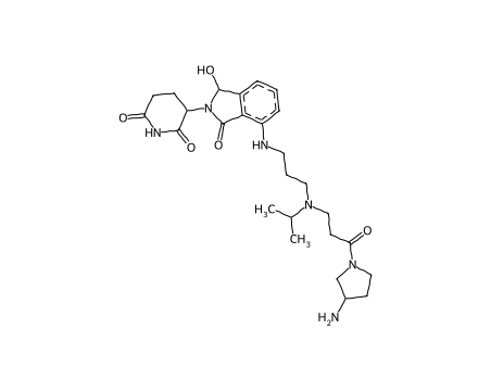 CC(C)N(CCCNc1cccc2c1C(=O)N(C1CCC(=O)NC1=O)C2O)CCC(=O)N1CCC(N)C1